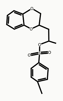 Cc1ccc(S(=O)(=O)OC(C)CC2COc3ccccc3O2)cc1